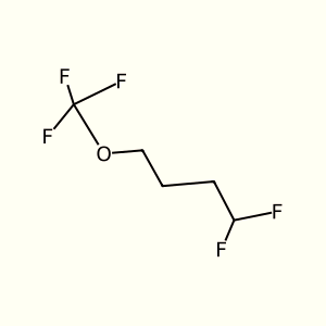 FC(F)CCCOC(F)(F)F